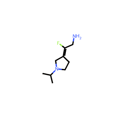 CC(C)N1CC/C(=C(/F)CN)C1